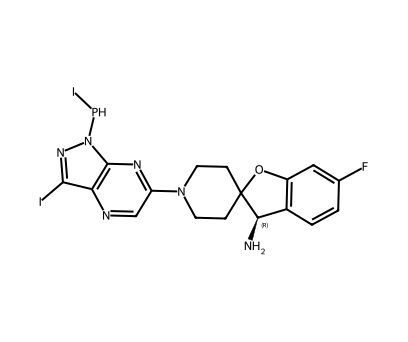 N[C@@H]1c2ccc(F)cc2OC12CCN(c1cnc3c(I)nn(PI)c3n1)CC2